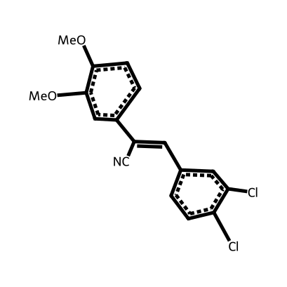 COc1ccc(/C(C#N)=C/c2ccc(Cl)c(Cl)c2)cc1OC